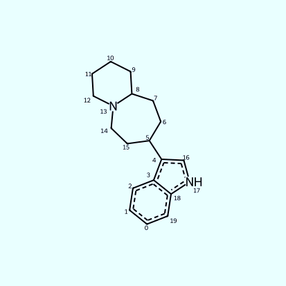 c1ccc2c(C3CCC4CCCCN4CC3)c[nH]c2c1